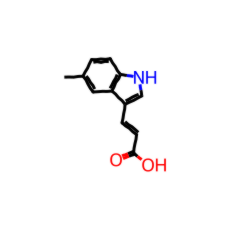 Cc1ccc2[nH]cc(/C=C/C(=O)O)c2c1